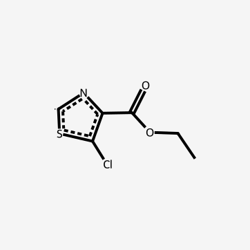 CCOC(=O)c1n[c]sc1Cl